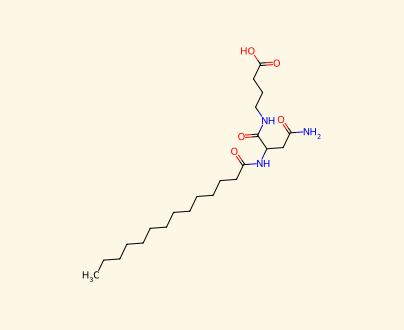 CCCCCCCCCCCCCC(=O)NC(CC(N)=O)C(=O)NCCCC(=O)O